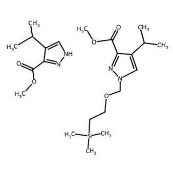 COC(=O)c1n[nH]cc1C(C)C.COC(=O)c1nn(COCC[Si](C)(C)C)cc1C(C)C